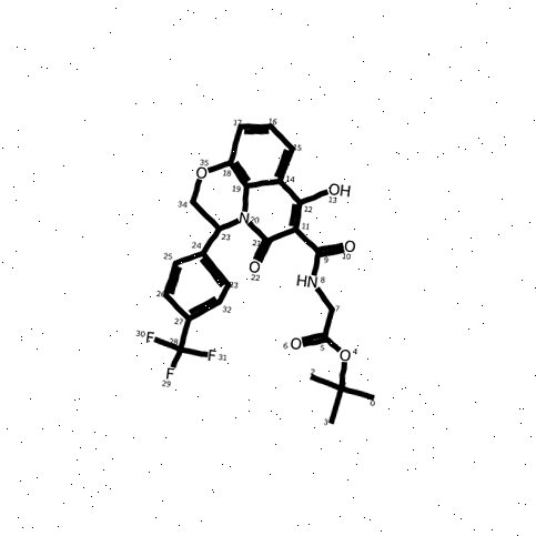 CC(C)(C)OC(=O)CNC(=O)c1c(O)c2cccc3c2n(c1=O)C(c1ccc(C(F)(F)F)cc1)CO3